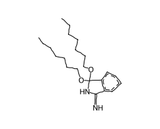 CCCCCCCOC1(OCCCCCCC)NC(=N)c2ccccc21